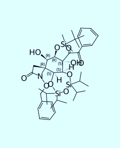 CC(C)[Si]1(C(C)C)O[C@@H]2[C@H](O[Si](C(C)C)(C(C)C)O1)[C@](O)(C(=O)C(=O)c1ccccc1)[C@H](O[Si](C)(C)C(C)(C)C)[C@H](O)[C@]21CC(=O)N1OCc1ccccc1